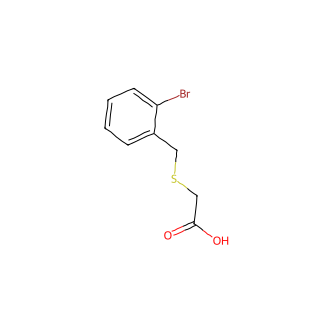 O=C(O)CSCc1ccccc1Br